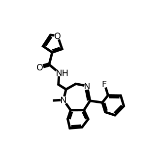 CN1c2ccccc2C(c2ccccc2F)=NCC1CNC(=O)c1ccoc1